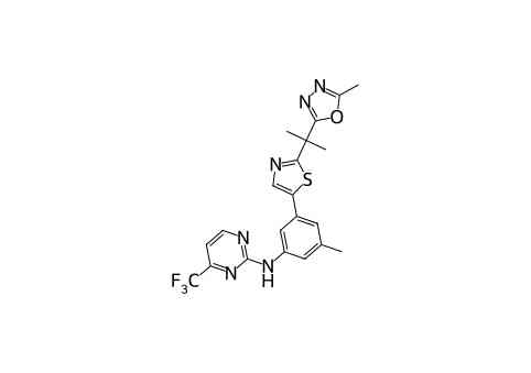 Cc1cc(Nc2nccc(C(F)(F)F)n2)cc(-c2cnc(C(C)(C)c3nnc(C)o3)s2)c1